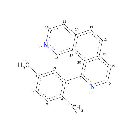 Cc1ccc(C)c(-c2nccc3ccc4ccncc4c23)c1